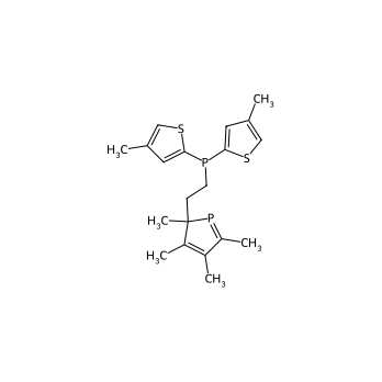 CC1=PC(C)(CCP(c2cc(C)cs2)c2cc(C)cs2)C(C)=C1C